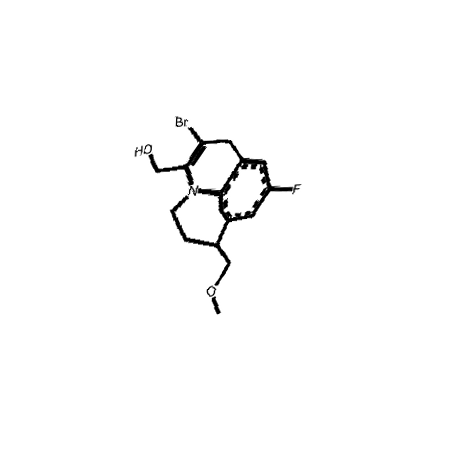 COCC1CCN2C(CO)=C(Br)Cc3cc(F)cc1c32